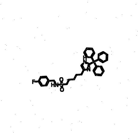 O=S(=O)(C[CH]CCCc1c[nH]c(C(c2ccccc2)(c2ccccc2)c2ccccc2)n1)NCc1ccc(F)cc1